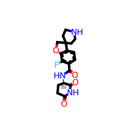 O=C1CC[C@H](NC(=O)c2ccc3c(c2F)OCC32CCNCC2)C(=O)N1